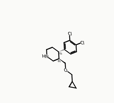 Clc1ccc([C@H]2CCNC[C@@H]2COCC2CC2)cc1Cl